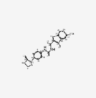 C=C(Nc1ccc(N2CCCC2=C)cc1)N[C@@H](C)C1=C(C)c2cc(F)ccc2C1